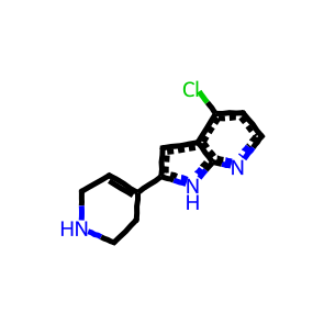 Clc1ccnc2[nH]c(C3=CCNCC3)cc12